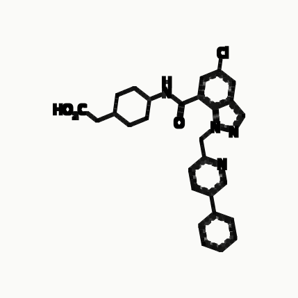 O=C(O)CC1CCC(NC(=O)c2cc(Cl)cc3cnn(Cc4ccc(-c5ccccc5)cn4)c23)CC1